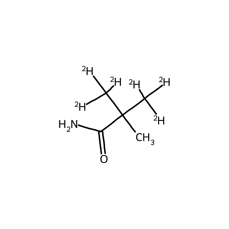 [2H]C([2H])([2H])C(C)(C(N)=O)C([2H])([2H])[2H]